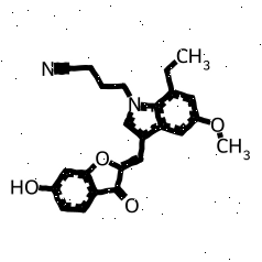 CCc1cc(OC)cc2c(C=C3Oc4cc(O)ccc4C3=O)cn(CCCC#N)c12